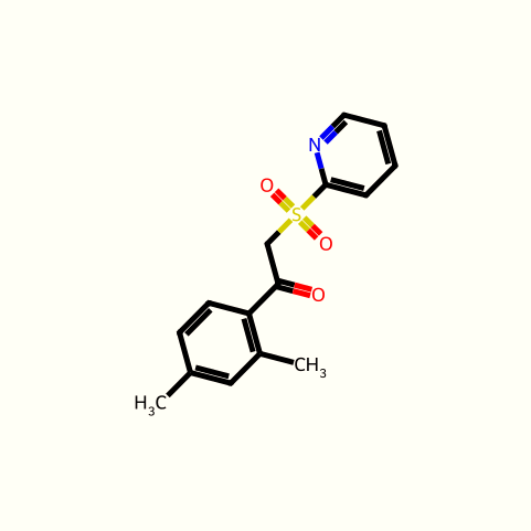 Cc1ccc(C(=O)CS(=O)(=O)c2ccccn2)c(C)c1